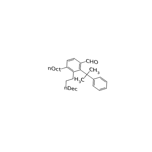 CCCCCCCCCCCCc1c(CCCCCCCC)ccc(C=O)c1C(C)(C)c1ccccc1